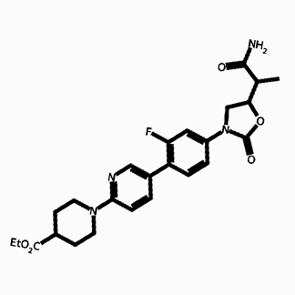 CCOC(=O)C1CCN(c2ccc(-c3ccc(N4CC(C(C)C(N)=O)OC4=O)cc3F)cn2)CC1